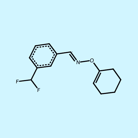 FC(F)c1cccc([C]=NOC2=CCCCC2)c1